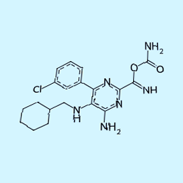 N=C(OC(N)=O)c1nc(N)c(NCC2CCCCC2)c(-c2cccc(Cl)c2)n1